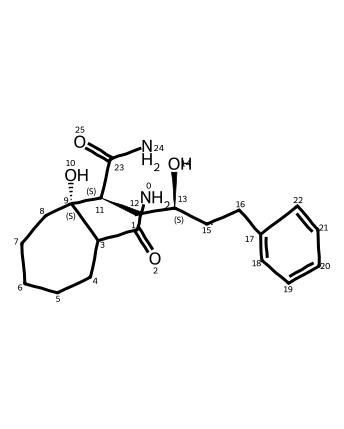 NC(=O)C1CCCCC[C@@]1(O)[C@H](C[C@@H](O)[CH]Cc1ccccc1)C(N)=O